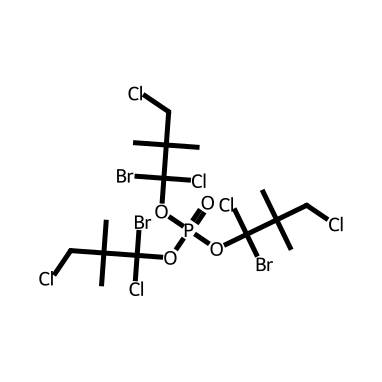 CC(C)(CCl)C(Cl)(Br)OP(=O)(OC(Cl)(Br)C(C)(C)CCl)OC(Cl)(Br)C(C)(C)CCl